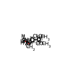 C=CC(=O)N1C[C@H]2C[C@@H]1[C@H]2Nc1ncc2cc(-c3c(Cl)c(OC)cc(OC)c3Cl)ccc2n1